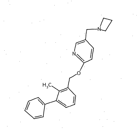 Cc1c(COc2ccc(CN3CCC3)cn2)cccc1-c1ccccc1